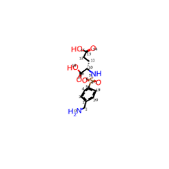 NCc1ccc(S(=O)(=O)N[C@@H](CCC(=O)O)C(=O)O)cc1